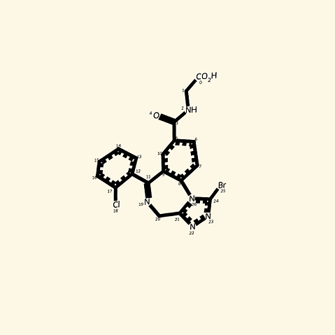 O=C(O)CNC(=O)c1ccc2c(c1)C(c1ccccc1Cl)=NCc1nnc(Br)n1-2